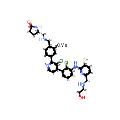 COc1cc(-c2nccc(-c3cccc(Nc4nc(CNCCO)ccc4F)c3Cl)c2Cl)ccc1CNC[C@@H]1CCC(=O)N1